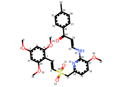 COc1cc(OC)c(C=CS(=O)(=O)Cc2ccc(OC)c(NC=CC(=O)c3ccc(C)cc3)n2)c(OC)c1